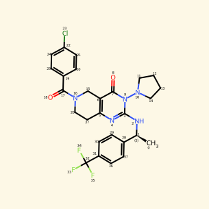 C[C@H](Nc1nc2c(c(=O)n1N1CCCC1)CN(C(=O)c1ccc(Cl)cc1)CC2)c1ccc(C(F)(F)F)cc1